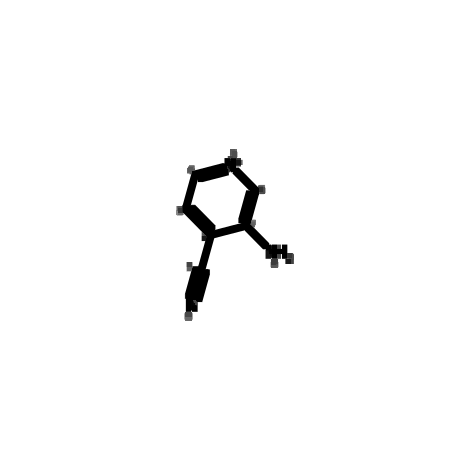 N#CC1=CC=[N+]C=C1N